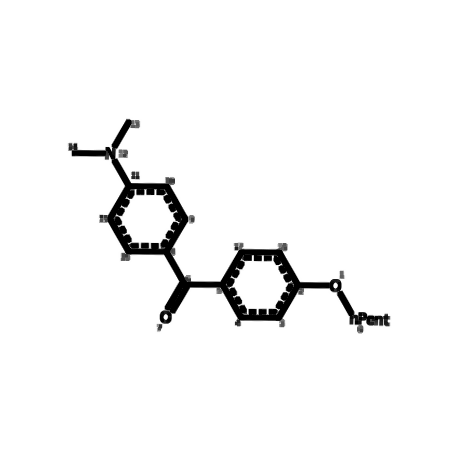 CCCCCOc1ccc(C(=O)c2ccc(N(C)C)cc2)cc1